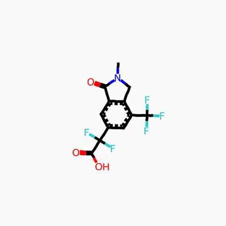 CN1Cc2c(cc(C(F)(F)C(=O)O)cc2C(F)(F)F)C1=O